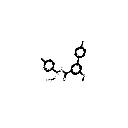 CSc1cc(C(=O)N[C@H](CO)c2ccc(C)nc2)cc(-c2ccc(C)cc2)c1